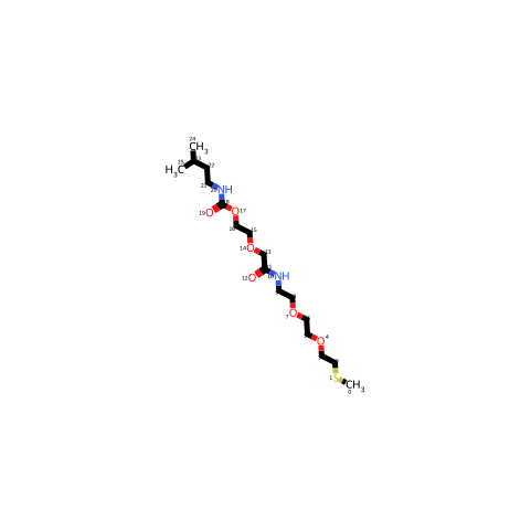 CSCCOCCOCCNC(=O)COCCOC(=O)NCCC(C)C